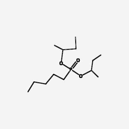 CCCCCP(=O)(OC(C)CC)OC(C)CC